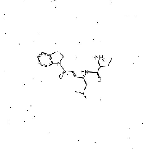 CC[C@H](N)C(=O)N[C@H](/C=C/C(=O)N1CCc2ccccc21)CC(C)C